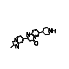 Cc1cn2ccc(-c3cc(=O)n4cc(C5CCNCC5)ccc4n3)cc2n1